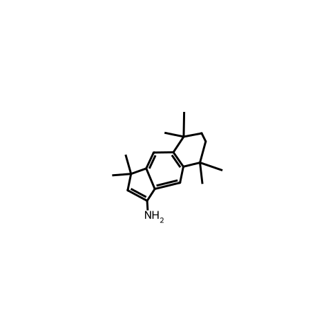 CC1(C)C=C(N)c2cc3c(cc21)C(C)(C)CCC3(C)C